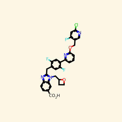 O=C(O)c1ccc2nc(Cc3cc(F)c(-c4cccc(OCc5cnc(Cl)cc5F)n4)cc3F)n(CC3CCO3)c2c1